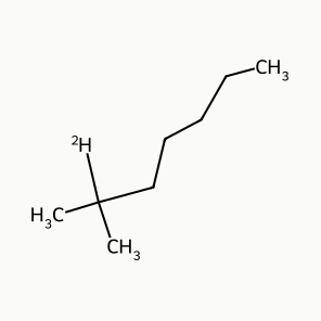 [2H]C(C)(C)CCCCC